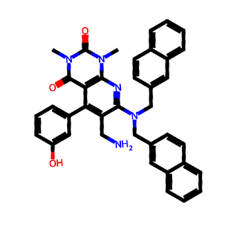 Cn1c(=O)c2c(-c3cccc(O)c3)c(CN)c(N(Cc3ccc4ccccc4c3)Cc3ccc4ccccc4c3)nc2n(C)c1=O